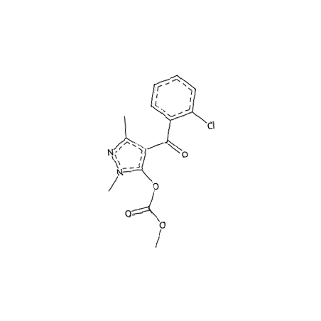 COC(=O)Oc1c(C(=O)c2ccccc2Cl)c(C)nn1C